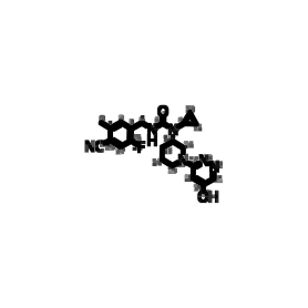 Cc1cc(CNC(=O)N(C2CC2)[C@@H]2CCCN(c3cc(O)cnn3)C2)c(F)cc1C#N